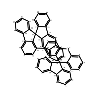 c1ccc2c(c1)Oc1ccc(-c3cccc4c3C3(c5ccccc5-c5cc6ccccc6cc53)c3ccccc3-4)cc1C21c2ccccc2-c2ccccc21